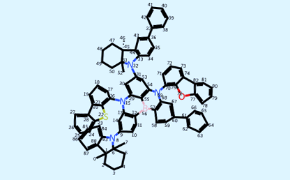 CC12CCCCC1(C)N(c1ccc3c(c1)N(c1cccc4c1sc1ccccc14)c1cc(N4c5ccc(-c6ccccc6)cc5[C@]5(C)CCCCC45C)cc4c1B3c1ccc(-c3ccccc3)cc1N4c1cccc3c1oc1ccccc13)c1ccccc12